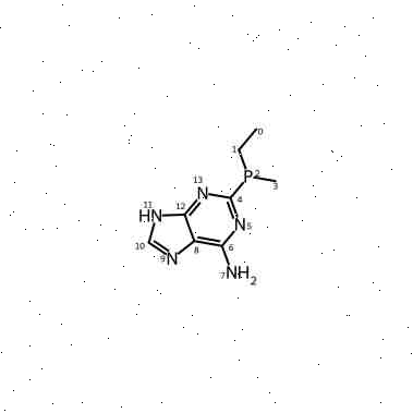 CCP(C)c1nc(N)c2nc[nH]c2n1